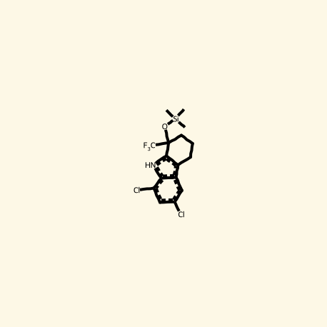 C[Si](C)(C)OC1(C(F)(F)F)CCCc2c1[nH]c1c(Cl)cc(Cl)cc21